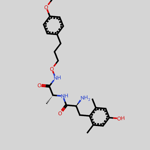 COc1ccc(CCCONC(=O)[C@@H](C)NC(=O)[C@@H](N)Cc2c(C)cc(O)cc2C)cc1